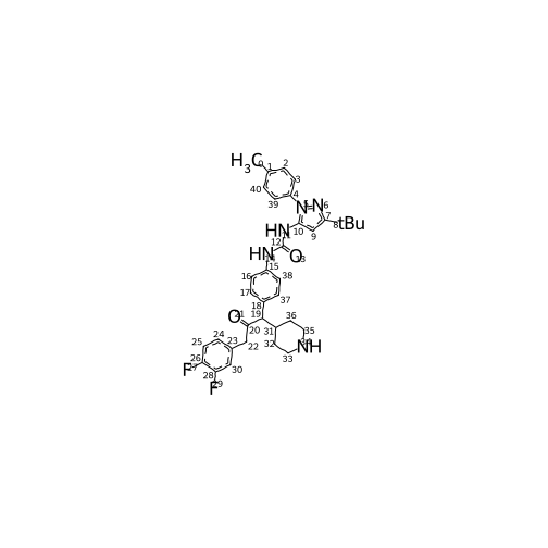 Cc1ccc(-n2nc(C(C)(C)C)cc2NC(=O)Nc2ccc(C(C(=O)Cc3ccc(F)c(F)c3)C3CCNCC3)cc2)cc1